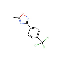 Cc1nc(-c2ccc(C(Cl)(Cl)Cl)cc2)no1